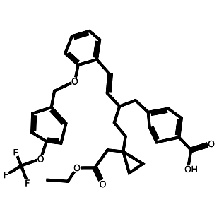 CCOC(=O)CC1(CCC(C=Cc2ccccc2OCc2ccc(OC(F)(F)F)cc2)Cc2ccc(C(=O)O)cc2)CC1